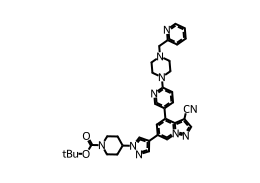 CC(C)(C)OC(=O)N1CCC(n2cc(-c3cc(-c4ccc(N5CCN(Cc6ccccn6)CC5)nc4)c4c(C#N)cnn4c3)cn2)CC1